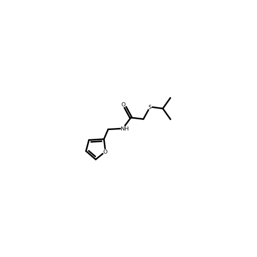 CC(C)SCC(=O)NCc1ccco1